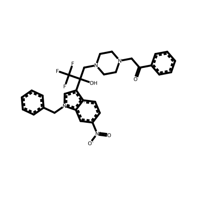 O=C(CN1CCN(CC(O)(c2cn(Cc3ccccc3)c3cc([N+](=O)[O-])ccc23)C(F)(F)F)CC1)c1ccccc1